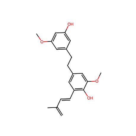 C=C(C)C=Cc1cc(CCc2cc(O)cc(OC)c2)cc(OC)c1O